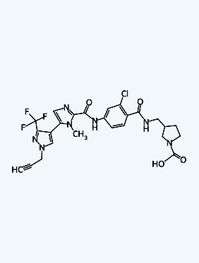 C#CCn1cc(-c2cnc(C(=O)Nc3ccc(C(=O)NCC4CCN(C(=O)O)C4)c(Cl)c3)n2C)c(C(F)(F)F)n1